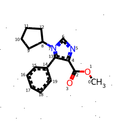 COC(=O)c1ncn(C2CCCC2)c1-c1ccccc1